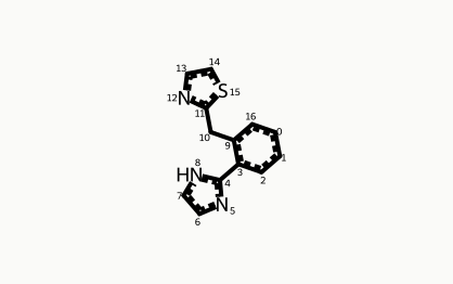 c1ccc(-c2ncc[nH]2)c(Cc2nccs2)c1